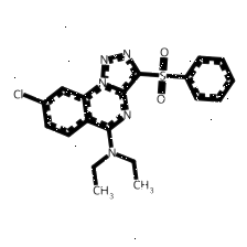 CCN(CC)c1nc2c(S(=O)(=O)c3ccccc3)nnn2c2cc(Cl)ccc12